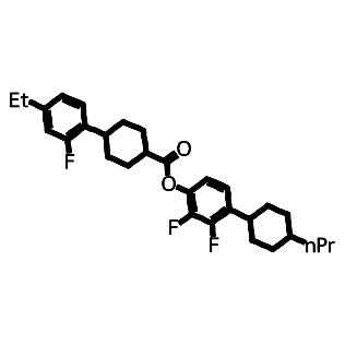 CCCC1CCC(c2ccc(OC(=O)C3CCC(c4ccc(CC)cc4F)CC3)c(F)c2F)CC1